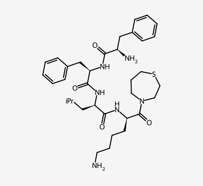 CC(C)C[C@@H](NC(=O)[C@@H](Cc1ccccc1)NC(=O)[C@H](N)Cc1ccccc1)C(=O)N[C@H](CCCCN)C(=O)N1CCCSCC1